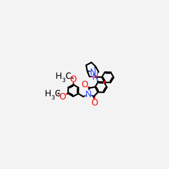 COc1cc(CN2C(=O)c3cccc(N4CC5CCC(C4)N5Cc4ccccc4)c3C2=O)cc(OC)c1